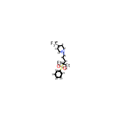 CCC(CC)(CCCN1CCC(C(F)(F)F)CC1)S(=O)(=O)c1ccccc1